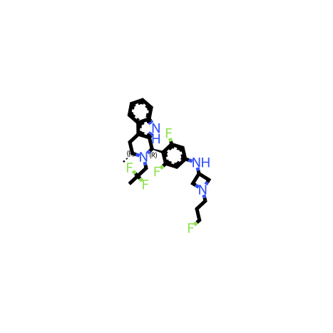 C[C@@H]1Cc2c([nH]c3ccccc23)[C@@H](c2c(F)cc(NC3CN(CCCF)C3)cc2F)N1CC(C)(F)F